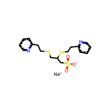 O=S(=O)([O-])CC(CSCCc1ccccn1)SCCc1ccccn1.[Na+]